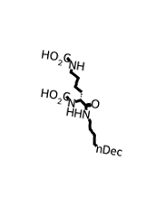 CCCCCCCCCCCCCCNC(=O)[C@@H](CCCCNC(=O)O)NC(=O)O